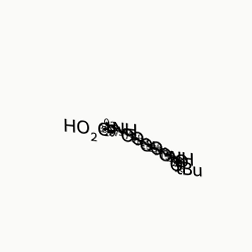 Cc1cc(NCCOCCOCCOCCOCCOCCNC(=O)OC(C)(C)C)ccc1C(=O)O